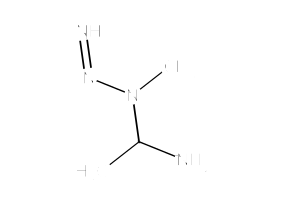 CC(N)N(C)N=N